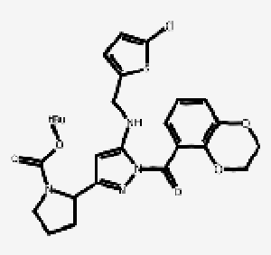 CC(C)(C)OC(=O)N1CCCC1c1cc(NCc2ccc(Cl)s2)n(C(=O)c2cccc3c2OCCO3)n1